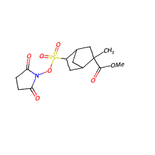 COC(=O)C1(C)CC2CC1CC2S(=O)(=O)ON1C(=O)CCC1=O